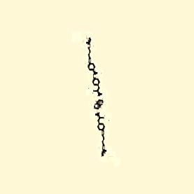 C=CC(=O)OCCCCOc1ccc(/C=C(\C#N)C(=O)O[C@@H]2COC3C2OC[C@H]3OC(=O)/C(C#N)=C/c2ccc(OC(=O)c3ccc(OCCCCOC(=O)C=C)cc3)cc2)cc1